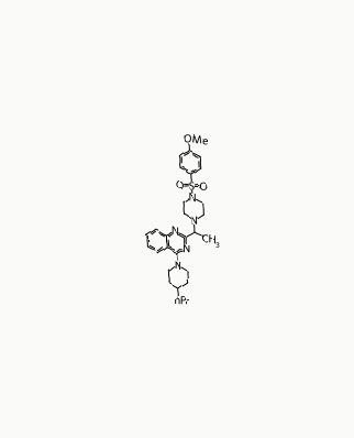 CCCC1CCN(c2nc(C(C)N3CCN(S(=O)(=O)c4ccc(OC)cc4)CC3)nc3ccccc23)CC1